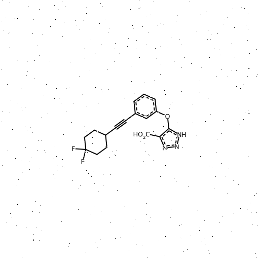 O=C(O)c1nn[nH]c1Oc1cccc(C#CC2CCC(F)(F)CC2)c1